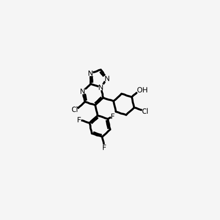 OC1CC(c2c(-c3c(F)cc(F)cc3F)c(Cl)nc3ncnn23)CCC1Cl